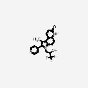 Cc1c(-c2ccncc2)n(CC(O)C(F)(F)F)c2ccc3[nH]c(=O)ccc3c12